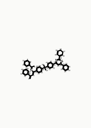 C=C(/C=C(\N=C(/C)c1ccccc1)c1ccc(C(C)(C)c2ccc(-c3cc(-c4ccccc4)nc(C4=CCCC=C4)n3)cc2)cc1)c1ccccc1